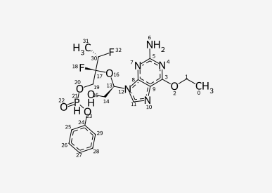 CCOc1nc(N)nc2c1ncn2[C@@H](CO)O[C@](F)(CO[PH](=O)Oc1ccccc1)[C@H](C)F